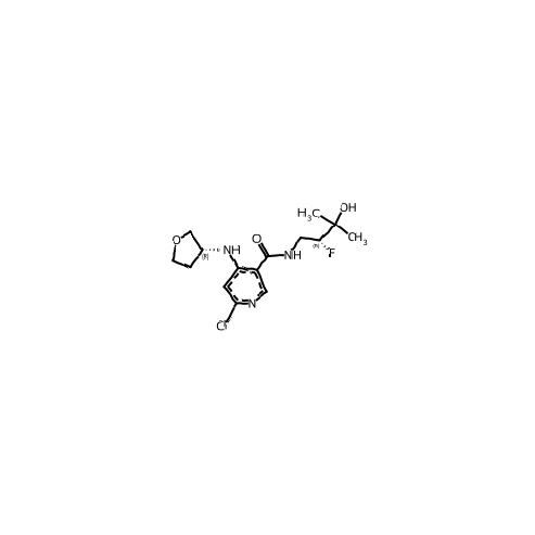 CC(C)(O)[C@H](F)CNC(=O)c1cnc(Cl)cc1N[C@@H]1CCOC1